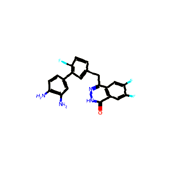 Nc1ccc(-c2cc(Cc3n[nH]c(=O)c4cc(F)c(F)cc34)ccc2F)cc1N